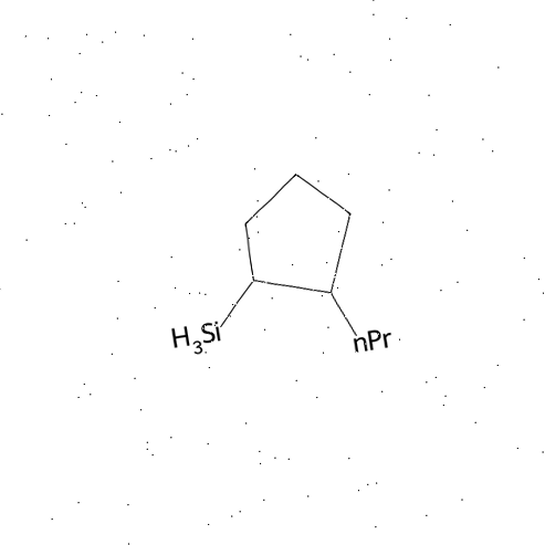 CCCC1CCCC1[SiH3]